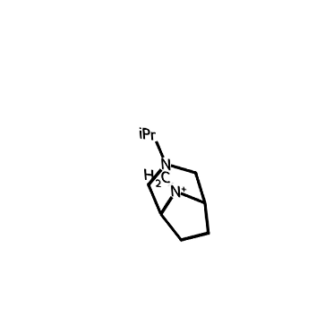 C=[N+]1C2CCC1CN(C(C)C)C2